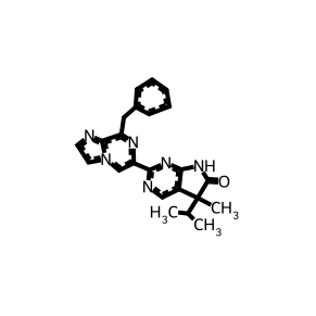 CC(C)C1(C)C(=O)Nc2nc(-c3cn4ccnc4c(Cc4ccccc4)n3)ncc21